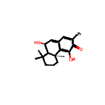 CC(C)C1=CC2=C[C@H](O)C3C(C)(C)CCC[C@]3(C)C2=C(O)C1=O